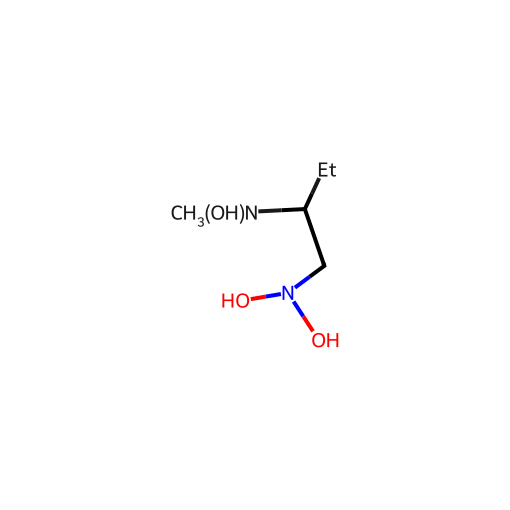 CCC(CN(O)O)N(C)O